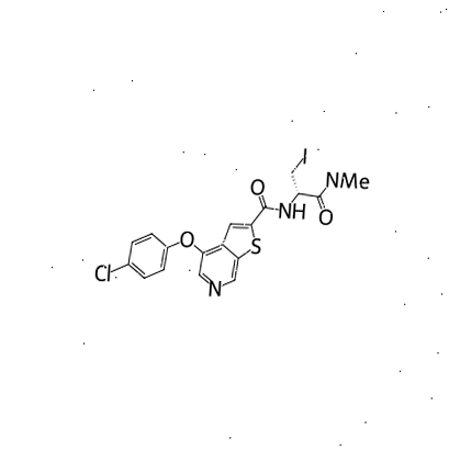 CNC(=O)[C@@H](CI)NC(=O)c1cc2c(Oc3ccc(Cl)cc3)cncc2s1